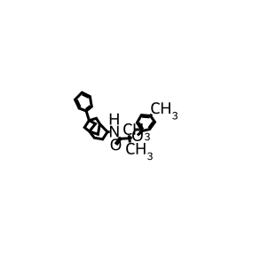 Cc1ccc(OC(C)(C)C(=O)NC2CCC34CC2CC(c2ccccc2)(C3)C4)cc1